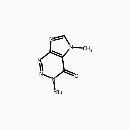 Cn1cnc2nnn(C(C)(C)C)c(=O)c21